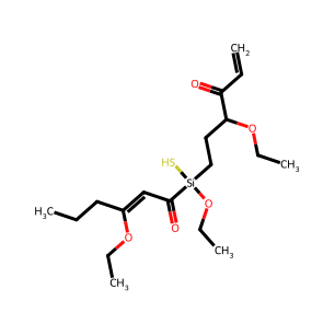 C=CC(=O)C(CC[Si](S)(OCC)C(=O)C=C(CCC)OCC)OCC